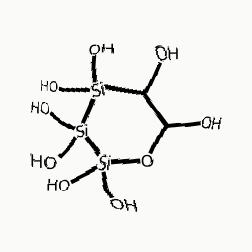 OC1O[Si](O)(O)[Si](O)(O)[Si](O)(O)C1O